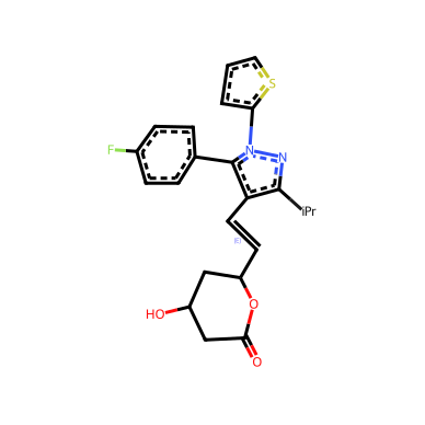 CC(C)c1nn(-c2cccs2)c(-c2ccc(F)cc2)c1/C=C/C1CC(O)CC(=O)O1